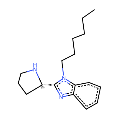 CCCCCCn1c([C@@H]2CCCN2)nc2ccccc21